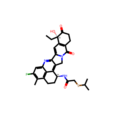 CC[C@@]1(O)C(=O)CCc2c1cc1n(c2=O)Cc2c-1nc1cc(F)c(C)c3c1c2[C@@H](NC(=O)CSC(C)C)CC3